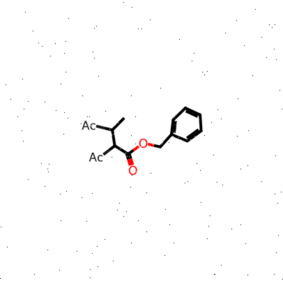 CC(=O)C(C)C(C(C)=O)C(=O)OCc1ccccc1